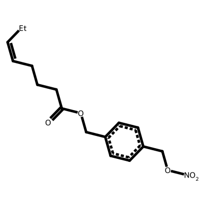 CC/C=C\CCCC(=O)OCc1ccc(CO[N+](=O)[O-])cc1